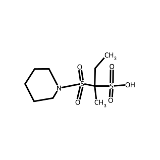 CCC(C)(S(=O)(=O)O)S(=O)(=O)N1CCCCC1